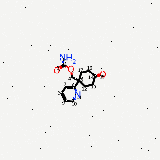 NC(=O)OCC1(c2ccccn2)CCC(=O)CC1